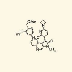 COCc1ncc(-c2ccc3ncc4c(c3c2)n(-c2ccc(N3CCC3)nc2C)c(=O)n4C)cc1OC(C)C